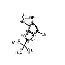 CCOC(=O)Nc1c(F)cc(Cl)c2nc(C(C)(C)OC)oc12